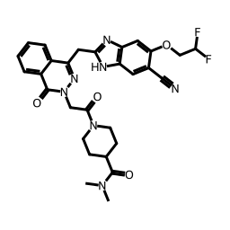 CN(C)C(=O)C1CCN(C(=O)Cn2nc(Cc3nc4cc(OCC(F)F)c(C#N)cc4[nH]3)c3ccccc3c2=O)CC1